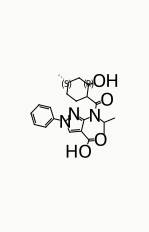 CC(C)N(C(=O)C1CC[C@H](C)C[C@H]1O)c1nn(-c2ccccc2)cc1C(=O)O